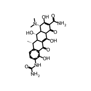 C[C@H]1c2ccc(NC(N)=O)c(O)c2C(=O)C2=C(O)C3C(=O)C(C(N)=O)=C(O)[C@@H](N(C)C)C3[C@@H](O)C21